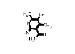 CC1=C(Br)C(C)=C(C(N)=O)C(=N)[N]1